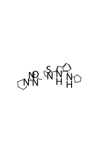 c1cc(NC2CCCC2)c2[nH]c(C3=N[C@H](Cc4nc(N5CCCCC5)no4)CS3)cc2c1